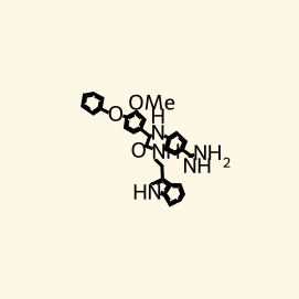 COc1cc(C(Nc2ccc(C(=N)N)cc2)C(=O)NCCc2c[nH]c3ccccc23)ccc1OCc1ccccc1